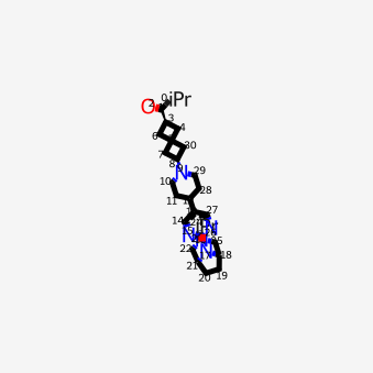 CC(C)C(=O)[C@H]1CC2(C1)C[C@H](N1CCC(c3cnc(N4C5CCC4CN(C(C)C)C5)nc3)CC1)C2